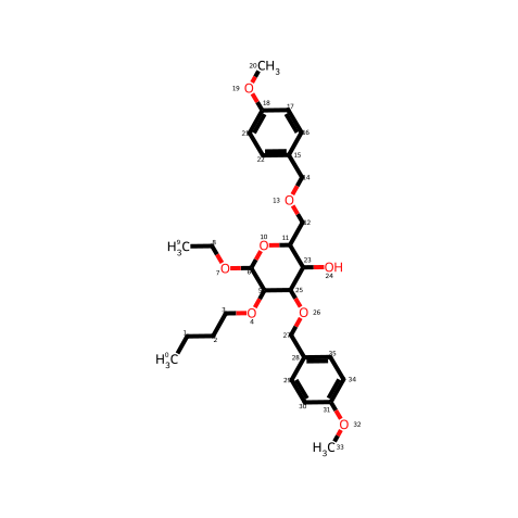 CCCCOC1C(OCC)OC(COCc2ccc(OC)cc2)C(O)C1OCc1ccc(OC)cc1